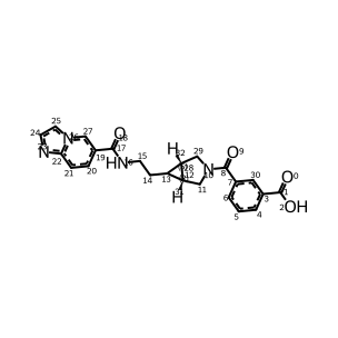 O=C(O)c1cccc(C(=O)N2C[C@@H]3C(CCNC(=O)c4ccc5nccn5c4)[C@@H]3C2)c1